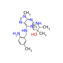 Cc1ccc(N)c(CNc2nc(NC(C)C(C)(C)O)nc3c2ncn3C)c1